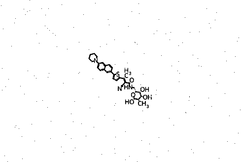 C/C(=C(/C#N)C(=O)NC[C@H]1OC(O)[C@H](C)[C@@H](O)[C@@H]1O)c1ccc(-c2ccc3cc(N4CCCCC4)ccc3c2)s1